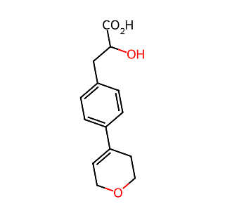 O=C(O)C(O)Cc1ccc(C2=CCOCC2)cc1